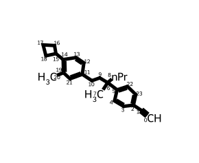 C#Cc1ccc(C(C)(CCC)CCc2ccc(C3CCC3)c(C)c2)cc1